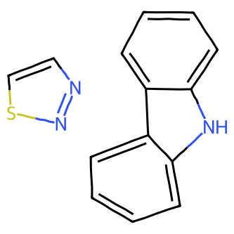 c1ccc2c(c1)[nH]c1ccccc12.c1csnn1